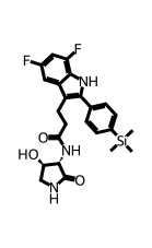 C[Si](C)(C)c1ccc(-c2[nH]c3c(F)cc(F)cc3c2CCC(=O)N[C@@H]2C(=O)NC[C@H]2O)cc1